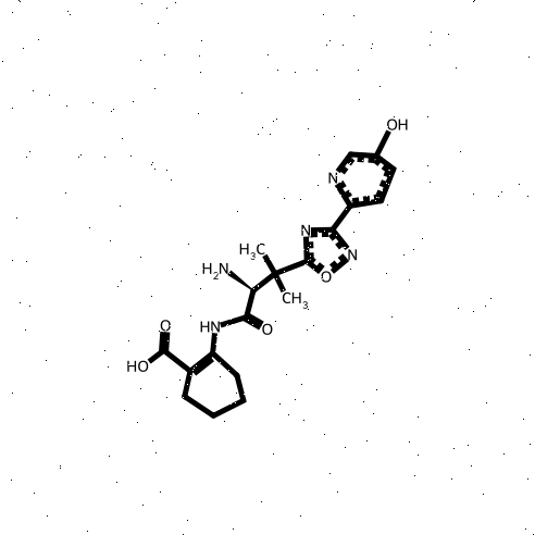 CC(C)(c1nc(-c2ccc(O)cn2)no1)[C@H](N)C(=O)NC1=C(C(=O)O)CCCC1